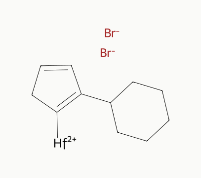 [Br-].[Br-].[Hf+2][C]1=C(C2CCCCC2)C=CC1